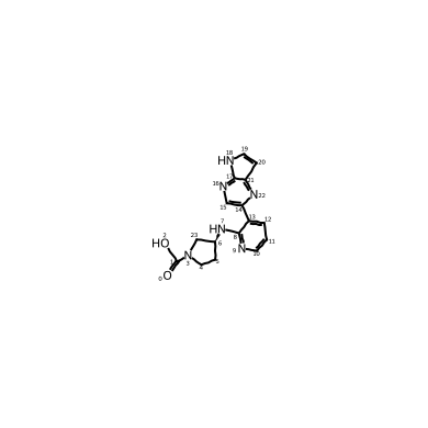 O=C(O)N1CC[C@H](Nc2ncccc2-c2cnc3[nH]ccc3n2)C1